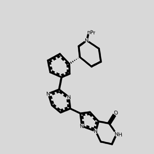 CCCN1CCC[C@H](c2cccc(-c3nccc(-c4cc5n(n4)CCNC5=O)n3)c2)C1